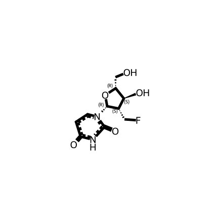 O=c1ccn([C@@H]2O[C@H](CO)[C@@H](O)[C@@H]2CF)c(=O)[nH]1